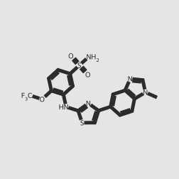 Cn1cnc2cc(-c3csc(Nc4cc(S(N)(=O)=O)ccc4OC(F)(F)F)n3)ccc21